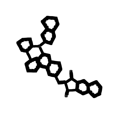 O=C1C(=Cc2ccc3cc(N(c4ccc5ccccc5c4)c4ccccc4-c4ccccc4)ccc3c2)C(=O)c2cc3ccccc3cc21